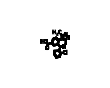 Cc1nnc2n1-c1ccc(C(=O)O)cc1C(c1ccccc1Cl)=NC2